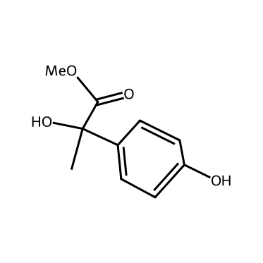 COC(=O)C(C)(O)c1ccc(O)cc1